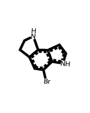 Brc1cc2c(c3cc[nH]c13)NCC2